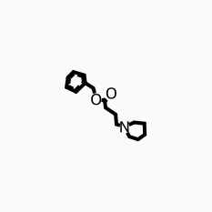 O=C(CCCN1CCCCC1)OCc1ccccc1